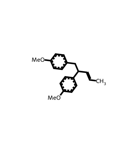 C/C=C/C(Cc1ccc(OC)cc1)c1ccc(OC)cc1